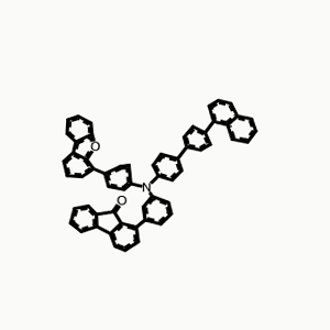 O=C1c2ccccc2-c2cccc(-c3cccc(N(c4ccc(-c5ccc(-c6cccc7ccccc67)cc5)cc4)c4ccc(-c5cccc6c5oc5ccccc56)cc4)c3)c21